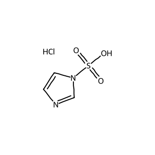 Cl.O=S(=O)(O)n1ccnc1